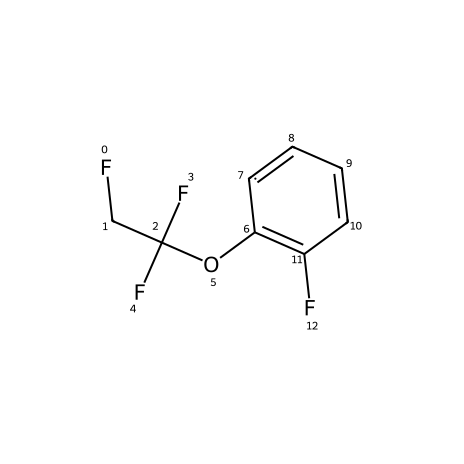 FCC(F)(F)Oc1[c]cccc1F